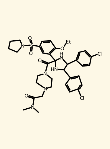 CCOc1ccc(S(=O)(=O)N2CCCC2)cc1C1(C(=O)N2CCN(CC(=O)N(C)C)CC2)NC(c2ccc(Cl)cc2)C(c2ccc(Cl)cc2)N1